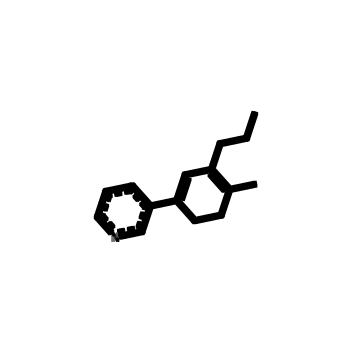 CCCC1=C(C)CCC(c2cccnc2)=C1